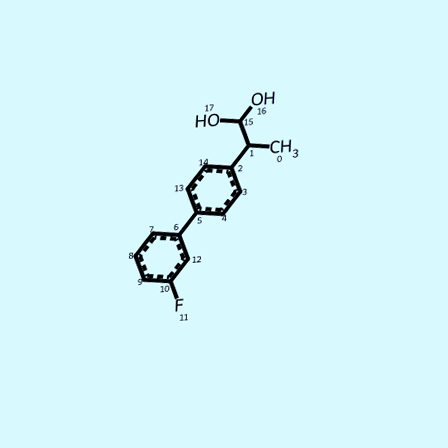 CC(c1ccc(-c2cccc(F)c2)cc1)C(O)O